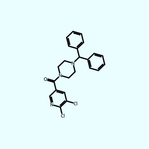 O=C(c1cnc(Cl)c(Cl)c1)N1CCN(C(c2ccccc2)c2ccccc2)CC1